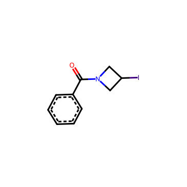 O=C(c1ccccc1)N1CC(I)C1